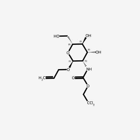 C=CCO[C@H]1O[C@H](CO)[C@@H](O)[C@H](O)[C@@H]1NC(=O)OCC(Cl)(Cl)Cl